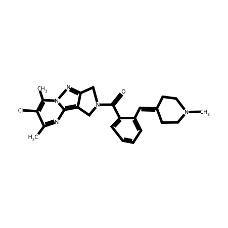 Cc1nc2c3c(nn2c(C)c1Cl)CN(C(=O)c1ccccc1C=C1CCN(C)CC1)C3